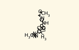 CC(=O)[C@H]1C[C@@H]1c1ccc(N[C@@H]2CCc3c(-c4c(C)cc(-c5nnn(C)n5)cc4C)cccc32)cn1